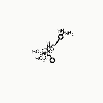 N=C(N)c1ccc(C#CCCC(=O)N[C@@H](CC(=O)O)C(=O)N[C@@H](Cc2ccccc2)C(=O)O)cc1